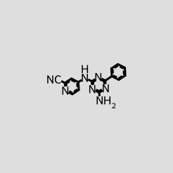 N#Cc1cc(Nc2nc(N)nc(-c3ccccc3)n2)ccn1